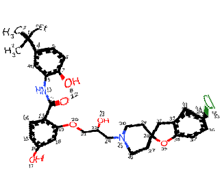 CCC(C)(C)c1ccc(O)c(NC(=O)c2ccc(O)cc2OC[C@@H](O)CN2CCC3(CC2)Cc2cc(Cl)ccc2O3)c1